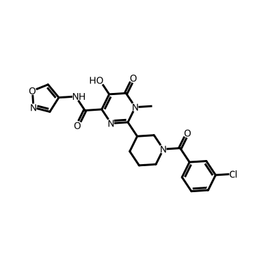 Cn1c(C2CCCN(C(=O)c3cccc(Cl)c3)C2)nc(C(=O)Nc2cnoc2)c(O)c1=O